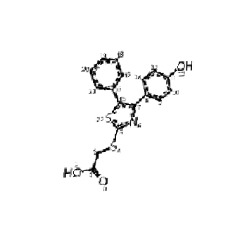 O=C(O)CSc1nc(-c2ccc(O)cc2)c(-c2ccccc2)s1